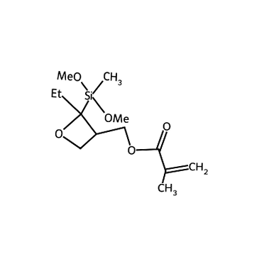 C=C(C)C(=O)OCC1COC1(CC)[Si](C)(OC)OC